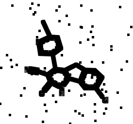 Cc1ccc(-c2c3c([nH]c(=O)c2C#N)-c2cc(Cl)ccc2C3)cn1